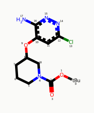 CC(C)(C)OC(=O)N1CCCC(Oc2cc(Cl)nnc2N)C1